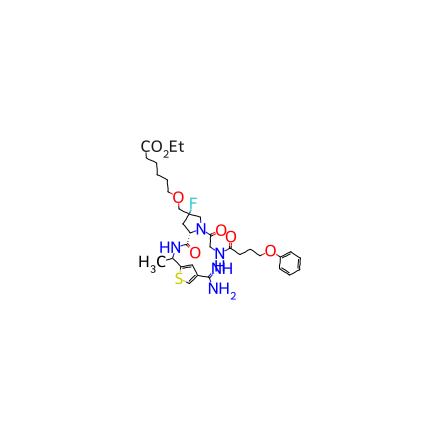 CCOC(=O)CCCCCOC[C@@]1(F)C[C@@H](C(=O)NC(C)c2cc(C(=N)N)cs2)N(C(=O)CNC(=O)CCCOc2ccccc2)C1